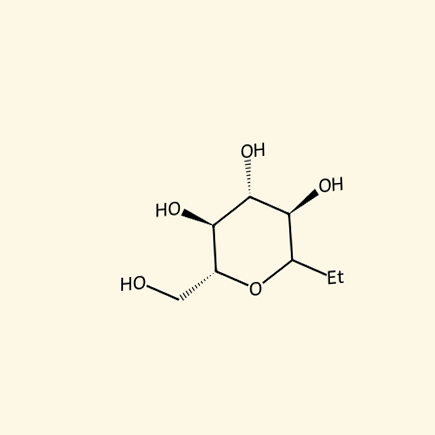 [CH2]CC1O[C@H](CO)[C@@H](O)[C@H](O)[C@H]1O